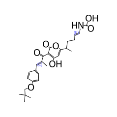 C/C(=C\c1ccc(OCC(C)(C)C)cc1)C(=O)c1c(O)cc(C(C)CC/C=C/NC(=O)O)oc1=O